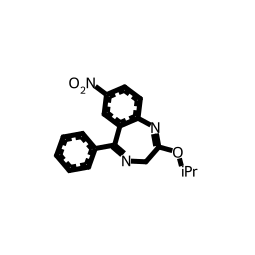 CC(C)OC1=Nc2ccc([N+](=O)[O-])cc2C(c2ccccc2)=NC1